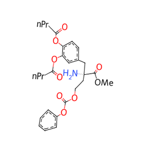 CCCC(=O)Oc1ccc(C[C@](N)(CCOC(=O)Oc2ccccc2)C(=O)OC)cc1OC(=O)CCC